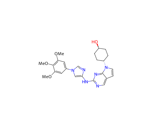 COc1cc(-n2cnc(Nc3ncc4ccn([C@H]5CC[C@H](O)CC5)c4n3)c2)cc(OC)c1OC